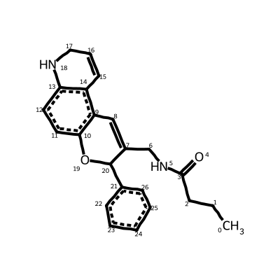 CCCC(=O)NCC1=Cc2c(ccc3c2C=CCN3)OC1c1ccccc1